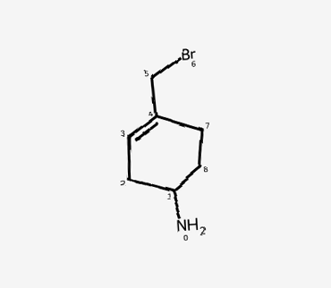 NC1CC=C(CBr)CC1